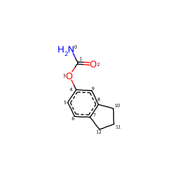 NC(=O)Oc1ccc2c(c1)CCC2